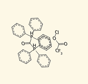 O=C(OCl)C(F)(F)F.O=C([PH](c1ccccc1)(c1ccccc1)c1ccccc1)[PH](c1ccccc1)(c1ccccc1)c1ccccc1